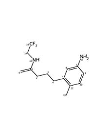 C=C(CCCc1cc(N)ccc1C)NCC(F)(F)F